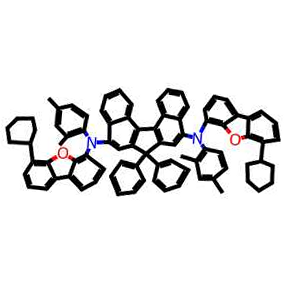 Cc1ccc(N(c2cc3c(c4ccccc24)-c2c(cc(N(c4ccc(C)cc4C)c4cccc5c4oc4c(C6CCCCC6)cccc45)c4ccccc24)C3(c2ccccc2)c2ccccc2)c2cccc3c2oc2c(C4CCCCC4)cccc23)c(C)c1